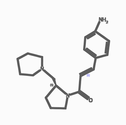 Nc1ccc(/C=C/C(=O)N2CCC[C@H]2CN2CCCCC2)cc1